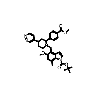 COC(=O)c1ccc(C2CC(c3ccnnc3)CCN2Cc2c(OC)cc(C)c3c2ccn3C(=O)OC(C)(C)C)cc1